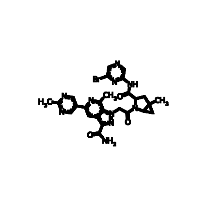 Cc1ncc(-c2cc3c(C(N)=O)nn(CC(=O)N4C(C(=O)Nc5cncc(Br)n5)CC5(C)CC45)c3c(C)n2)cn1